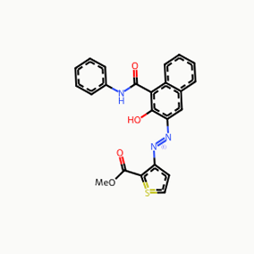 COC(=O)c1sccc1/N=N/c1cc2ccccc2c(C(=O)Nc2ccccc2)c1O